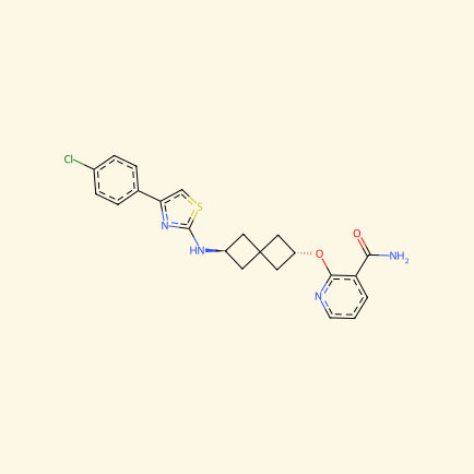 NC(=O)c1cccnc1O[C@H]1CC2(C[C@H](Nc3nc(-c4ccc(Cl)cc4)cs3)C2)C1